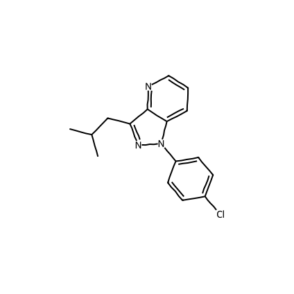 CC(C)Cc1nn(-c2ccc(Cl)cc2)c2cccnc12